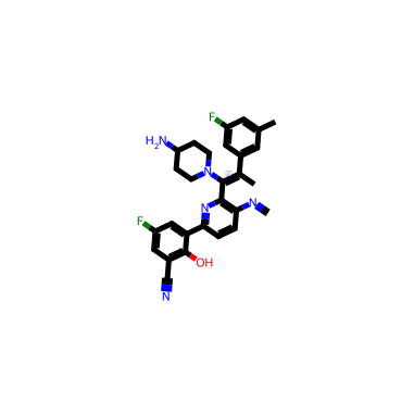 C=Nc1ccc(-c2cc(F)cc(C#N)c2O)nc1/C(=C(\C)c1cc(C)cc(F)c1)N1CCC(N)CC1